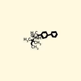 CCC(C)(C)[S@+]([O-])N[C@@H](C)c1ccc(-c2ccccc2)cc1